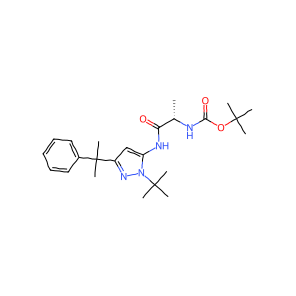 C[C@H](NC(=O)OC(C)(C)C)C(=O)Nc1cc(C(C)(C)c2ccccc2)nn1C(C)(C)C